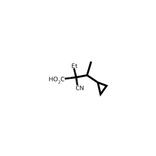 CCC(C#N)(C(=O)O)C(C)C1CC1